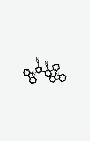 N#Cc1cc(-c2cccc(-c3ccccc3N3c4ccccc4C4C=CC=CC43)c2C#N)cc(-n2c3ccccc3c3ccccc32)c1